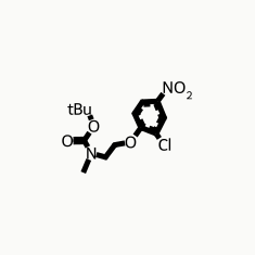 CN(CCOc1ccc([N+](=O)[O-])cc1Cl)C(=O)OC(C)(C)C